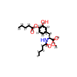 CCCCC(=O)N[C@@H](Cc1ccc(OC(=O)CCCC)c(O)c1)C(=O)OC